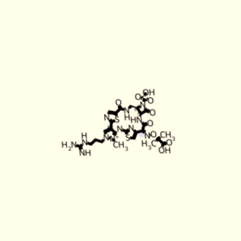 C[n+]1cc(-c2ncc(C(=O)NC[C@@H]3[C@H](NC(=O)/C(=N\OC(C)(C)C(=O)O)c4csc(N)n4)C(=O)N3S(=O)(=O)O)s2)cn1CCCNC(=N)N